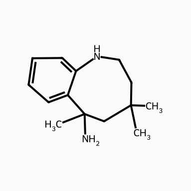 CC1(C)CCNc2ccccc2C(C)(N)C1